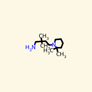 CC(C)(CN)CCN1CCCCC1(C)C